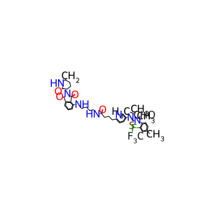 C=C1CCC(N2C(=O)c3cccc(NCCCCNC(=O)CCCc4ccc(N(C(=S)N(C)c5ccc(C)c(C(F)(F)F)c5F)C(C)(C)C=O)cn4)c3C2=O)C(=O)N1